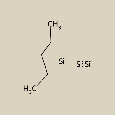 CCCCC.[Si].[Si].[Si]